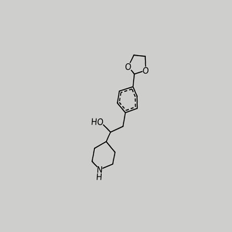 OC(Cc1ccc(C2OCCO2)cc1)C1CCNCC1